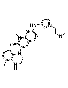 Cc1cccc2c1NCCN2c1cc2cnc(Nc3cnn(CCN(C)C)c3)nc2n(C)c1=O